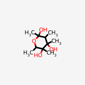 CC1OC(C)(O)C(C)C(C)(O)C1(C)O